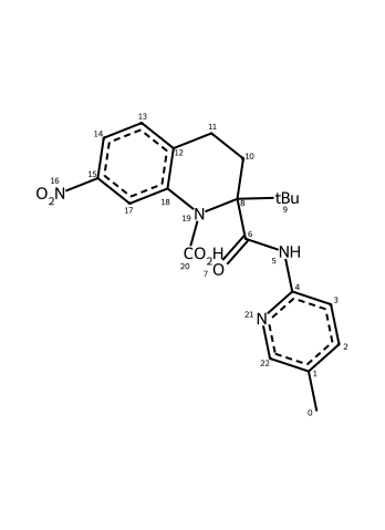 Cc1ccc(NC(=O)C2(C(C)(C)C)CCc3ccc([N+](=O)[O-])cc3N2C(=O)O)nc1